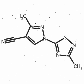 Cc1nsc(-n2cc(C#N)c(C)n2)n1